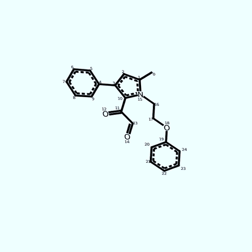 Cc1cc(-c2ccccc2)c(C(=O)[C]=O)n1CCOc1ccccc1